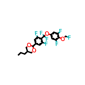 CCCC1COC(c2cc(F)c(C(F)(F)Oc3cc(F)c(OCF)c(F)c3)c(F)c2)OC1